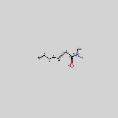 CCCCC=CC(=O)N(C)C